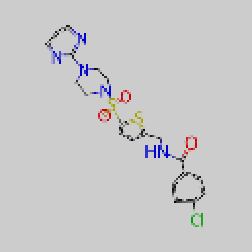 O=C(NCc1ccc(S(=O)(=O)N2CCN(c3ncccn3)CC2)s1)c1ccc(Cl)cc1